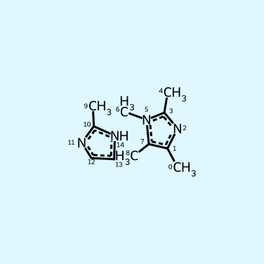 Cc1nc(C)n(C)c1C.Cc1ncc[nH]1